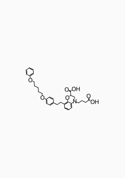 O=C(O)CCCN1CC(C(=O)O)Oc2c(CCc3ccc(OCCCCCOc4ccccc4)cc3)cccc21